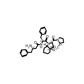 N[C@H](CC(=O)N[C@@H](Cc1ccccc1)C(=O)N1[C@H](C(=O)N2CCC[C@H]2C(=O)O)C[C@@H]2CCCC[C@@H]21)Cc1ccccc1